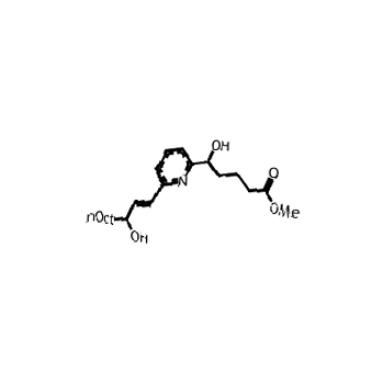 CCCCCCCCC(O)/C=C/c1cccc(C(O)CCCC(=O)OC)n1